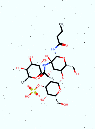 CCCC(=O)N[C@@H]1O[C@H](CO)[C@@H](O[C@H]2C[C@@H](OS(=O)(=O)O)[C@@H](O)[C@@H](CO)O2)[C@H](O[C@@H]2O[C@@H](C)[C@@H](O)[C@@H](O)[C@@H]2O)[C@]1(O)NC(C)=O